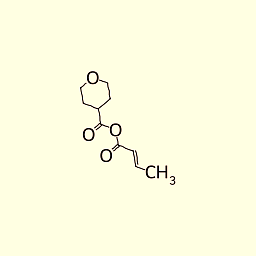 CC=CC(=O)OC(=O)C1CCOCC1